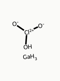 [GaH3].[O-][Cl+2]([O-])O